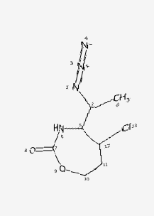 CC(N=[N+]=[N-])C1NC(=O)OCCC1Cl